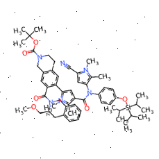 COC[C@@H]1Cc2ccccc2CN1C(=O)c1cc2c(cc1-c1cc(C(=O)N(c3ccc(O[Si](C(C)C)(C(C)C)C(C)C)cc3)c3cc(C#N)n(C)c3C)c(C)n1C)CCN(C(=O)OC(C)(C)C)C2